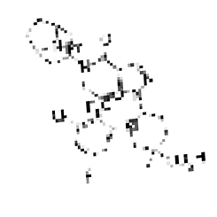 CC(C)N1C2CCC1CC(N(CC(=O)c1c(Cl)cc(F)cc1Cl)C(=O)c1cnn(C3CCC(C)(C(=O)O)CC3)c1C(F)(F)F)C2